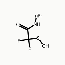 CCCNC(=O)C(F)(F)SO